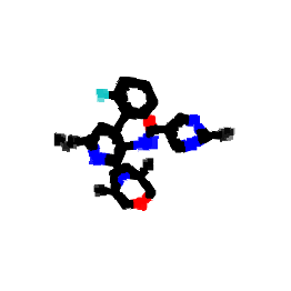 Cc1cc(-c2ccccc2F)c(NC(=O)c2cnc(C(C)C)nc2)c(N2[C@@H]3CC[C@H]2COC3)n1